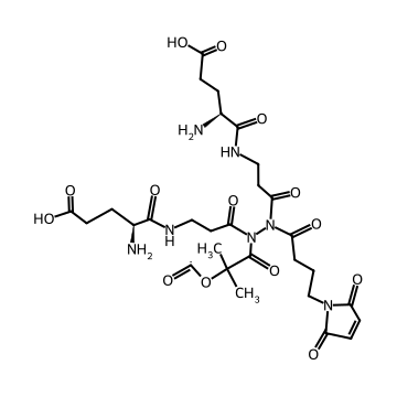 CC(C)(O[C]=O)C(=O)N(C(=O)CCNC(=O)[C@@H](N)CCC(=O)O)N(C(=O)CCCN1C(=O)C=CC1=O)C(=O)CCNC(=O)[C@@H](N)CCC(=O)O